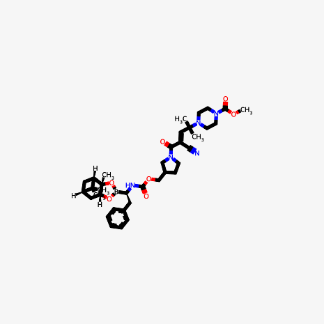 COC(=O)N1CCN(C(C)(C)C=C(C#N)C(=O)N2CCC(COC(=O)N[C@@H](Cc3ccccc3)B3O[C@@H]4C[C@@H]5C[C@@H](C5(C)C)[C@]4(C)O3)C2)CC1